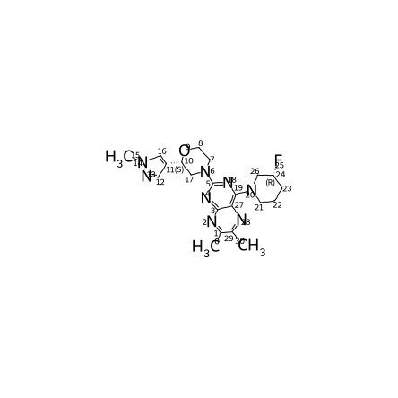 Cc1nc2nc(N3CCO[C@@H](c4cnn(C)c4)C3)nc(N3CCC[C@@H](F)C3)c2nc1C